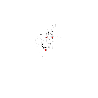 COC(=O)c1ccc(NC(=O)C2C3CC(OCc4c(-c5c(Cl)cccc5Cl)noc4C4CC4)CC2C3)c(F)c1